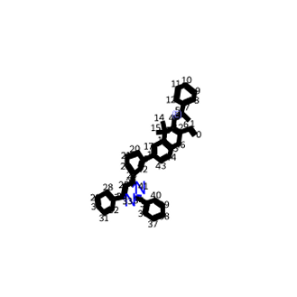 C=CC1=C(/C=C(\C)c2ccccc2)C(C)(C)c2cc(-c3cccc(-c4cc(-c5ccccc5)nc(-c5ccccc5)n4)c3)ccc2C1